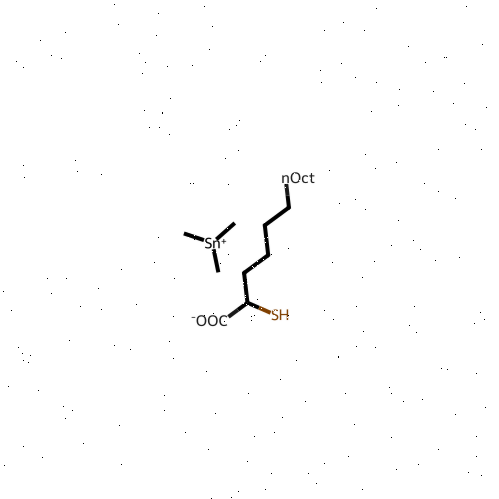 CCCCCCCCCCCCC(S)C(=O)[O-].[CH3][Sn+]([CH3])[CH3]